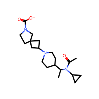 CC(=O)N(C1CC1)C(C)C1CCN(C2CC3(CCN(C(=O)O)C3)C2)CC1